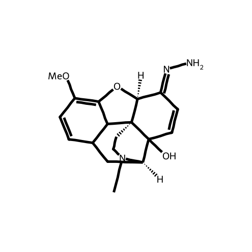 COC1=C2O[C@H]3C(=NN)C=CC4(O)[C@H]5CC(C=C1)C2[C@@]34CCN5C